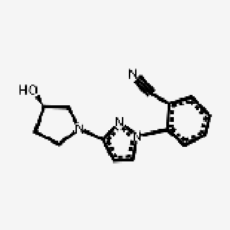 N#Cc1ccccc1-n1ccc(N2CC[C@@H](O)C2)n1